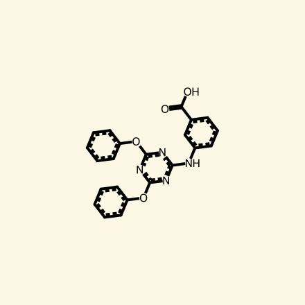 O=C(O)c1cccc(Nc2nc(Oc3ccccc3)nc(Oc3ccccc3)n2)c1